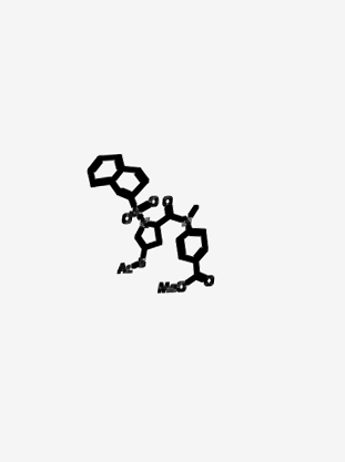 COC(=O)c1ccc(N(C)C(=O)C2CC(SC(C)=O)CN2S(=O)(=O)c2ccc3ccccc3c2)cc1